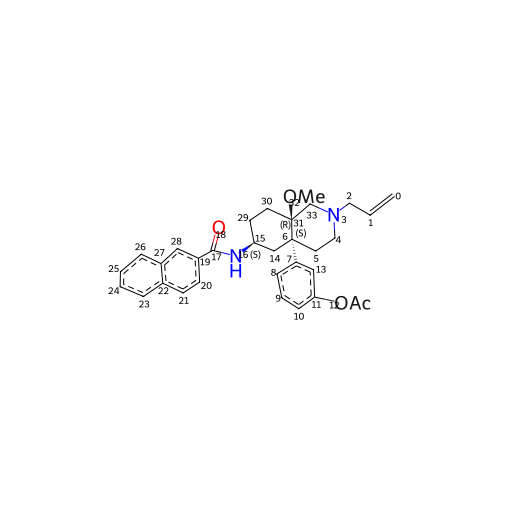 C=CCN1CC[C@@]2(c3cccc(OC(C)=O)c3)C[C@@H](NC(=O)c3ccc4ccccc4c3)CC[C@]2(OC)C1